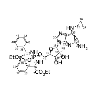 CCOC(=O)[C@@H](NP(=O)(N[C@H](C(=O)OCC)c1ccccc1)OC[C@H]1O[C@@H](n2cnc3c(NC4CC4)nc(N)nc32)[C@@](C)(O)C1O)c1ccccc1